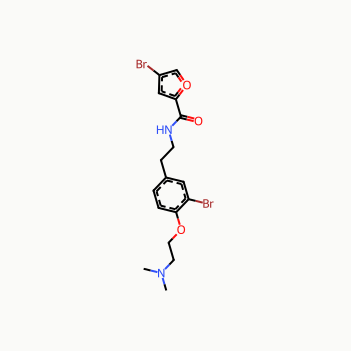 CN(C)CCOc1ccc(CCNC(=O)c2cc(Br)co2)cc1Br